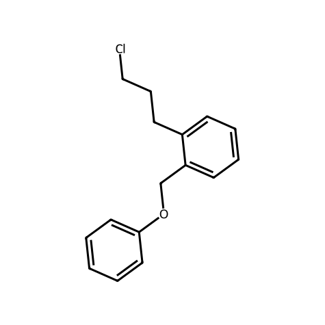 ClCCCc1ccccc1COc1ccccc1